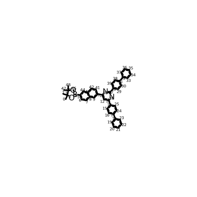 CC1(C)OB(c2ccc3cc(-c4cc(-c5ccc(-c6ccccc6)cc5)nc(-c5ccc(-c6ccccc6)cc5)n4)ccc3c2)OC1(C)C